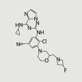 N#Cc1cc(Nc2nc(NC3CC3)c3nccn3n2)c(Cl)c(N2CCOC(CN3CC(F)C3)C2)c1